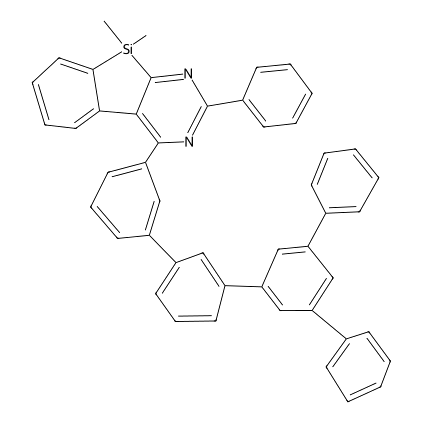 C[Si]1(C)c2ccccc2-c2c(-c3cccc(-c4cccc(-c5cc(-c6ccccc6)cc(-c6ccccc6)c5)c4)c3)nc(-c3ccccc3)nc21